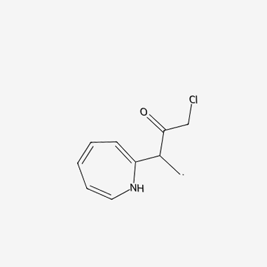 [CH2]C(C(=O)CCl)C1=CC=CC=CN1